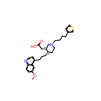 COc1ccc2nccc(CCC[C@@H]3CCN(CCCCc4ccsc4)C[C@@H]3CC(=O)O)c2c1